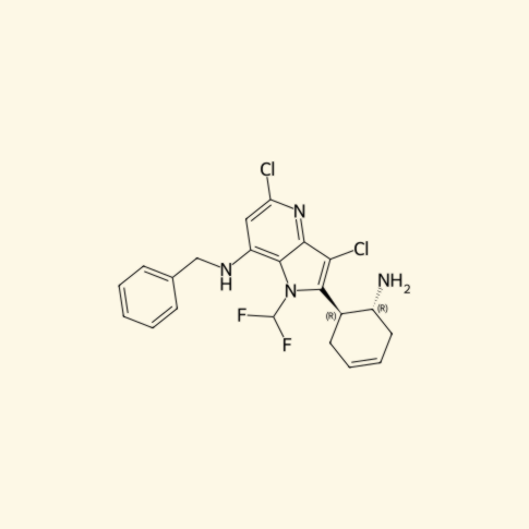 N[C@@H]1CC=CC[C@H]1c1c(Cl)c2nc(Cl)cc(NCc3ccccc3)c2n1C(F)F